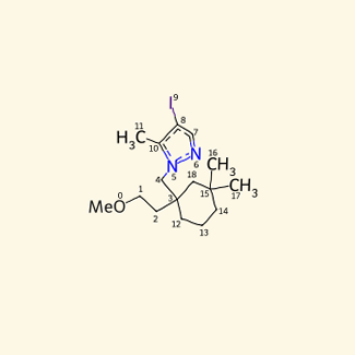 COCCC1(Cn2ncc(I)c2C)CCCC(C)(C)C1